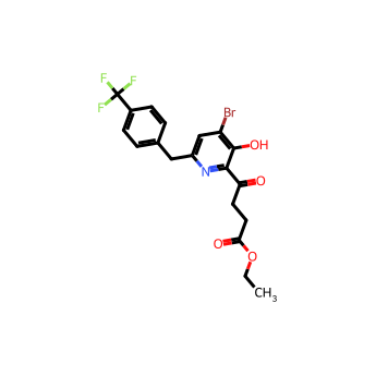 CCOC(=O)CCC(=O)c1nc(Cc2ccc(C(F)(F)F)cc2)cc(Br)c1O